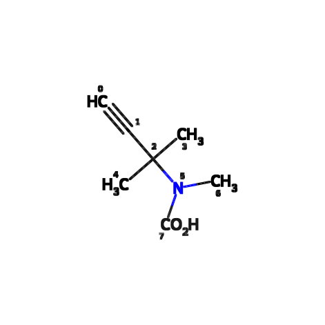 C#CC(C)(C)N(C)C(=O)O